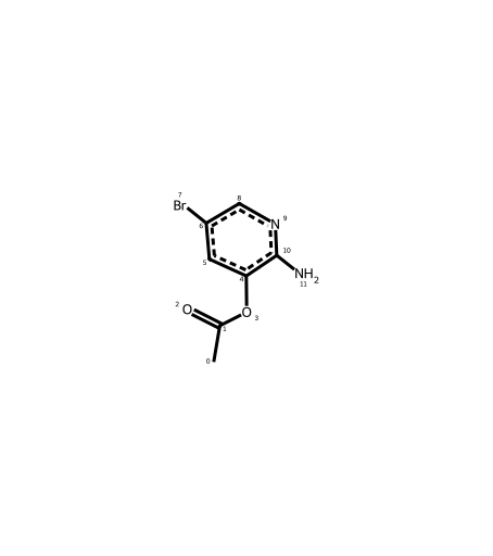 CC(=O)Oc1cc(Br)cnc1N